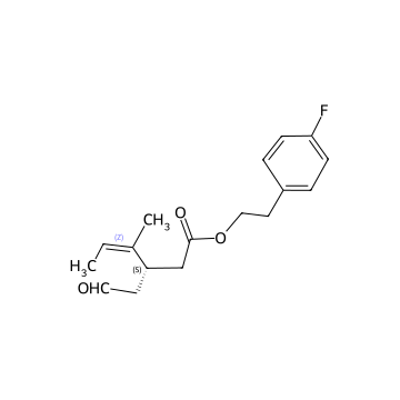 C/C=C(/C)[C@@H](CC=O)CC(=O)OCCc1ccc(F)cc1